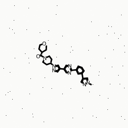 Cn1cc(-c2cccc(-c3ncc(-c4cnn(C5CCN(C(=O)C6CCOCC6)CC5)c4)cn3)c2)cn1